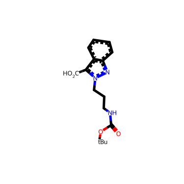 CC(C)(C)OC(=O)NCCCn1nc2ccccc2c1C(=O)O